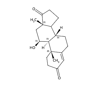 C[C@]12CCC(=O)C=C1CC[C@H]1C3CCC(=O)[C@@]3(C)C[C@H](O)[C@@H]12